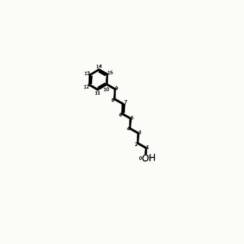 OCCCCC/C=C/CCc1ccccc1